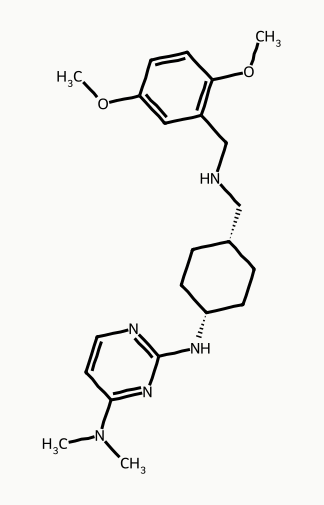 COc1ccc(OC)c(CNC[C@H]2CC[C@@H](Nc3nccc(N(C)C)n3)CC2)c1